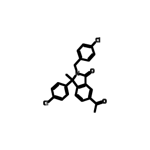 CC(=O)c1ccc2c(c1)C(=O)N(Cc1ccc(Cl)cc1)C2(C)c1ccc(Cl)cc1